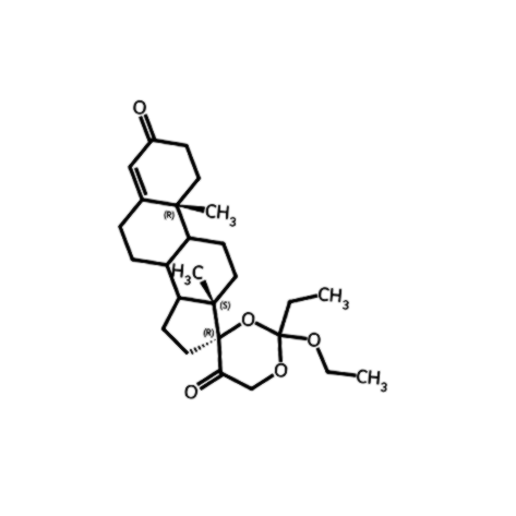 CCOC1(CC)OCC(=O)[C@]2(CCC3C4CCC5=CC(=O)CC[C@]5(C)C4CC[C@@]32C)O1